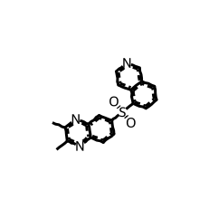 Cc1nc2ccc(S(=O)(=O)c3cccc4cnccc34)cc2nc1C